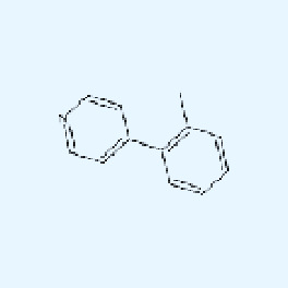 Cc1ccc[c]c1-c1ccncc1